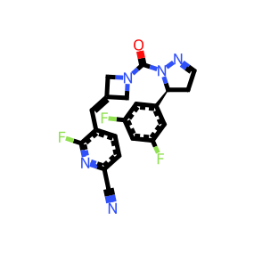 N#Cc1ccc(C=C2CN(C(=O)N3N=CC[C@H]3c3cc(F)cc(F)c3)C2)c(F)n1